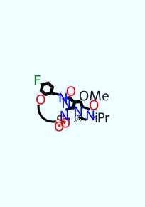 COc1c2n(c3c4nn(c(=O)c13)Cc1ccc(F)cc1OCCCCCS(=O)(=O)N4C)[C@@H](C)CN(C(C)C)C2=O